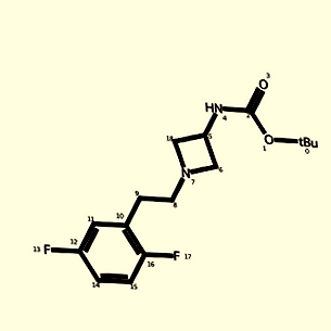 CC(C)(C)OC(=O)NC1CN(CCc2cc(F)ccc2F)C1